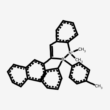 Cc1ccc([B-]2(c3ccccc3)C(c3ccc4ccccc4c3)=Cc3ccccc3[N+]2(C)C)cc1